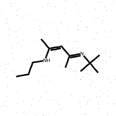 CCCN/C(C)=C\C(C)=N\C(C)(C)C